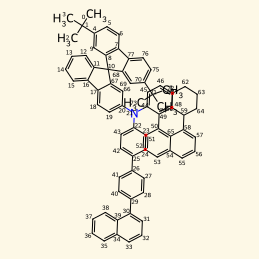 CC(C)(C)c1ccc2c(c1)C1(c3ccccc3-c3ccc(N(c4ccc(-c5ccc(-c6cccc7ccccc67)cc5)cc4)c4ccccc4-c4cccc5cccc(C6CCCCC6)c45)cc31)c1cc(C(C)(C)C)ccc1-2